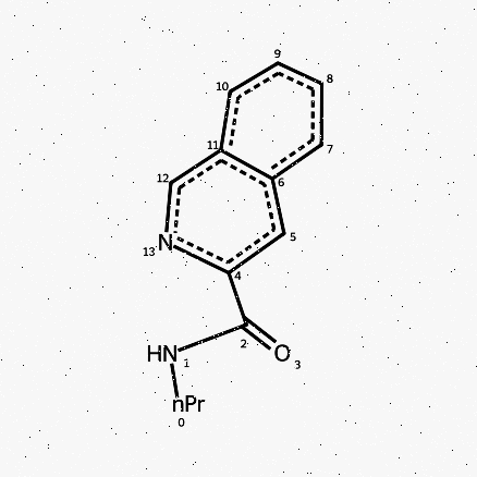 CCCNC(=O)c1cc2ccccc2cn1